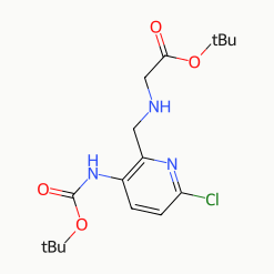 CC(C)(C)OC(=O)CNCc1nc(Cl)ccc1NC(=O)OC(C)(C)C